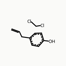 C=CCc1ccc(O)cc1.ClCCl